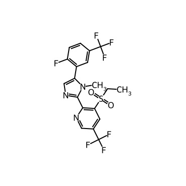 CCS(=O)(=O)c1cc(C(F)(F)F)cnc1-c1ncc(-c2cc(C(F)(F)F)ccc2F)n1C